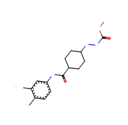 COc1cc(NC(=O)C2CCC(NNC(=O)OC(C)(C)C)CC2)ccc1C